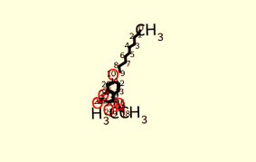 CCCCCCCCCCOc1ccc2c(OC(C)C)c(O)c(=O)oc2c1